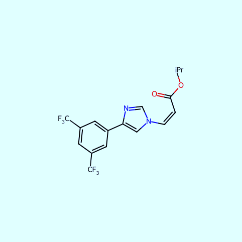 CC(C)OC(=O)/C=C\n1cnc(-c2cc(C(F)(F)F)cc(C(F)(F)F)c2)c1